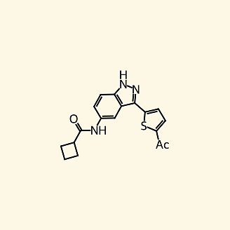 CC(=O)c1ccc(-c2n[nH]c3ccc(NC(=O)C4CCC4)cc23)s1